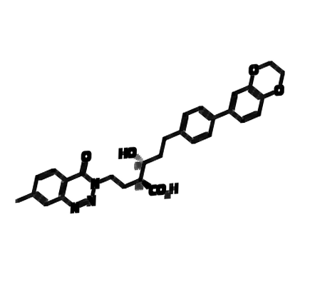 Cc1ccc2c(=O)n(CC[C@H](C(=O)O)[C@H](O)CCc3ccc(-c4ccc5c(c4)OCCO5)cc3)nnc2c1